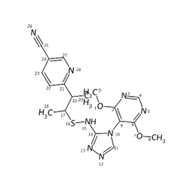 COc1ncnc(OC)c1-n1cnnc1NSC(C)C(C)c1ccc(C#N)cn1